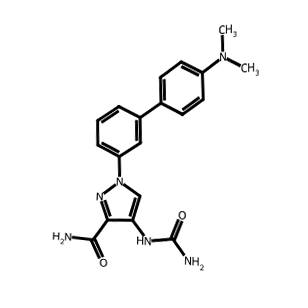 CN(C)c1ccc(-c2cccc(-n3cc(NC(N)=O)c(C(N)=O)n3)c2)cc1